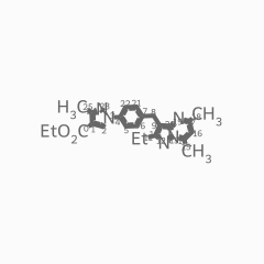 CCOC(=O)c1cn(-c2ccc(Cc3c(CC)nn4c(C)cc(C)nc34)cc2)nc1C